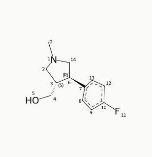 CN1C[C@@H](CO)[C@H](c2ccc(F)cc2)C1